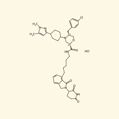 Cc1cc(C2CCC(N3C[C@H](C(=O)NCCCCCc4cccc5c4C(=O)N(C4CCC(=O)NC4=O)C5)OC[C@@H]3Cc3ccc(Cl)cc3)CC2)nn1C.Cl